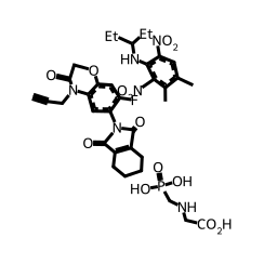 C#CCN1C(=O)COc2cc(F)c(N3C(=O)C4=C(CCCC4)C3=O)cc21.CCC(CC)Nc1c([N+](=O)[O-])cc(C)c(C)c1[N+](=O)[O-].O=C(O)CNCP(=O)(O)O